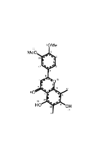 COc1ccc(-c2cc(=O)c3c(O)c(C)c(O)c(C)c3o2)cc1OC